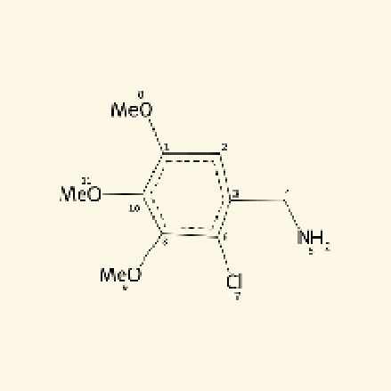 COc1cc(CN)c(Cl)c(OC)c1OC